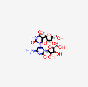 CC[C@@]1(c2c[nH]c(=O)[nH]c2=O)O[C@H](CO)[C@@H](O)[C@H]1O.Nc1ccn([C@@H]2O[C@H](CO)[C@@H](O)[C@H]2O)c(=O)n1